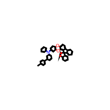 Cc1ccc(-c2cccc(N(c3ccccc3)c3ccc4c(c3)Oc3c(ccc5c3C3(c6ccccc6-5)c5ccccc5C5C=CC=CC53)O4)c2)cc1